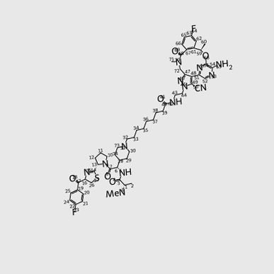 CN[C@@H](C)C(=O)N[C@H](C(=O)N1CCC[C@H]1C1=NC(C(=O)c2ccc(F)cc2)CS1)C1CCN(CCCCCCCCC(=O)NCCn2nc3c(c2C#N)-c2cnc(N)c(n2)O[C@H](C)c2cc(F)ccc2C(=O)N(C)C3)CC1